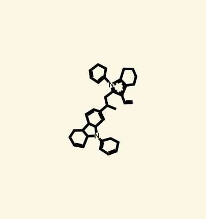 C=Cc1c2c(n(C3=CC=CCC3)c1CC(C)C1=CC3C(C=C1)C1CCC=CC1N3C1=CC=CCC1)CCCC2